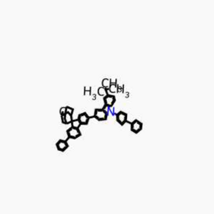 CC(C)(C)c1ccc2c(c1)c1cc(-c3ccc4c(c3)-c3ccc(-c5ccccc5)cc3C43C4CC5CC(C4)CC3C5)ccc1n2-c1ccc(-c2ccccc2)cc1